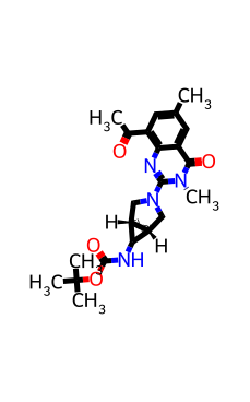 CC(=O)c1cc(C)cc2c(=O)n(C)c(N3C[C@@H]4C(NC(=O)OC(C)(C)C)[C@@H]4C3)nc12